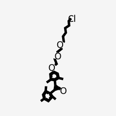 Cc1cc(C)c(-c2c(-c3c(C)cc(OCCOCCOCCCCCCCl)cc3C)c2=O)c(C)c1